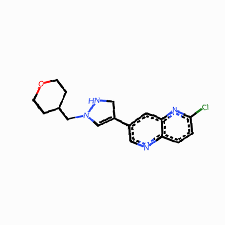 Clc1ccc2ncc(C3=CN(CC4CCOCC4)NC3)cc2n1